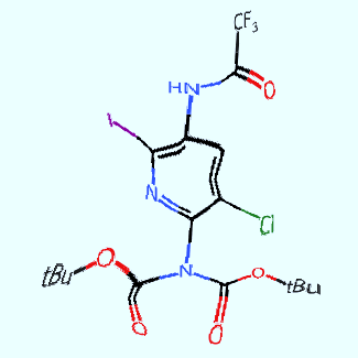 CC(C)(C)OC(=O)N(C(=O)OC(C)(C)C)c1nc(I)c(NC(=O)C(F)(F)F)cc1Cl